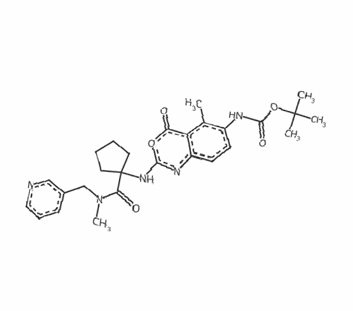 Cc1c(NC(=O)OC(C)(C)C)ccc2nc(NC3(C(=O)N(C)Cc4cccnc4)CCCC3)oc(=O)c12